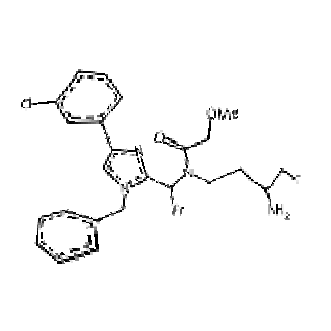 COCC(=O)N(CCC(N)CF)C(c1nc(-c2cccc(Cl)c2)cn1Cc1ccccc1)C(C)C